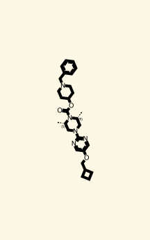 C[C@@H]1CN(c2ncc(OCC3CCC3)cn2)C[C@H](C)N1C(=O)OC1CCN(Cc2ccccc2)CC1